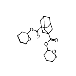 O=C(OC1CCCCO1)C12CC3CC(C1)CC(C(=O)OC1CCCCO1)(C3)C2